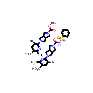 CCOC(=O)c1cc(C#N)c(N2CC3CN(C(=O)OC(C)(C)C)CC3C2)nc1C.Cc1nc(N2CC3CN(C(=O)NS(=O)(=O)c4ccccc4)CC3C2)c(C#N)cc1C(=O)O